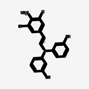 O=C(O)c1c(Cl)cc(/C=C/P(c2cccc(O)c2)c2cccc(O)c2)cc1Cl